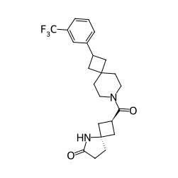 O=C1CC[C@]2(C[C@H](C(=O)N3CCC4(CC3)CC(c3cccc(C(F)(F)F)c3)C4)C2)N1